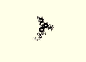 COC(=O)NC1CCc2c(c3cc(OC(F)(F)F)ccc3n2Cc2cccc(F)n2)C1